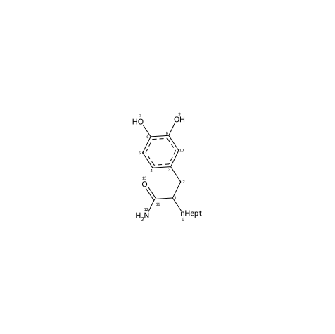 CCCCCCCC(Cc1ccc(O)c(O)c1)C(N)=O